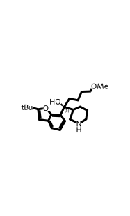 COCCCC[C@@](O)(c1cccc2cc(C(C)(C)C)oc12)C1CCCNC1